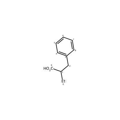 C[CH]C(Cc1ccccc1)C(=O)O